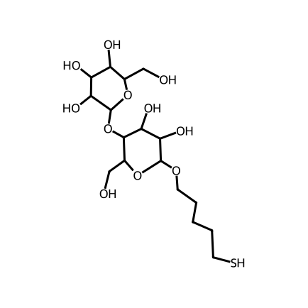 OCC1OC(OC2C(CO)OC(OCCCCCS)C(O)C2O)C(O)C(O)C1O